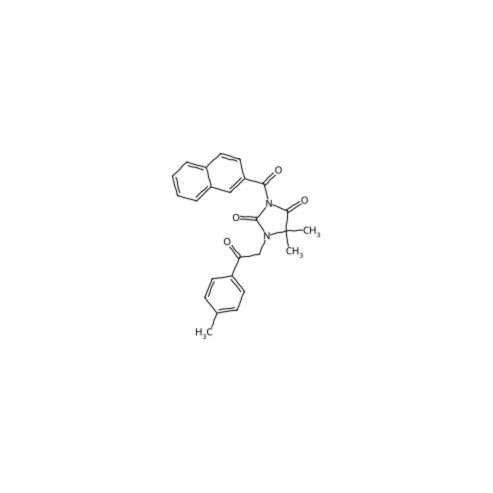 Cc1ccc(C(=O)CN2C(=O)N(C(=O)c3ccc4ccccc4c3)C(=O)C2(C)C)cc1